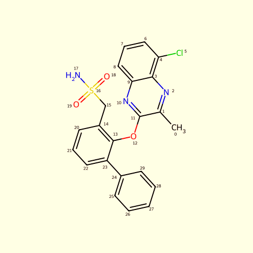 Cc1nc2c(Cl)cccc2nc1Oc1c(CS(N)(=O)=O)cccc1-c1ccccc1